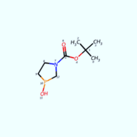 CC(C)(C)OC(=O)N1CCP(O)C1